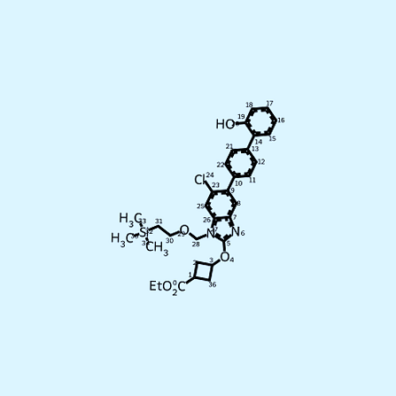 CCOC(=O)C1CC(Oc2nc3cc(-c4ccc(-c5ccccc5O)cc4)c(Cl)cc3n2COCC[Si](C)(C)C)C1